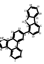 [c]1ccc2c(c1)c1cc(-c3cccc4c3sc3ccccc34)ccc1c1sccc21